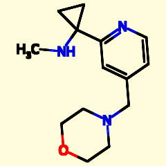 CNC1(c2cc(CN3CCOCC3)ccn2)CC1